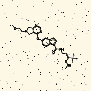 CNO/C(=C\CNC(=O)n1ccc2cc(Oc3ncnc4c3CN(CCOC)C4)ccc21)C(C)(C)C